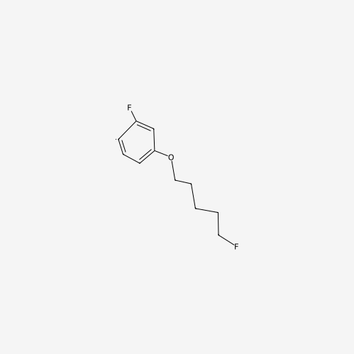 FCCCCCOc1cc[c]c(F)c1